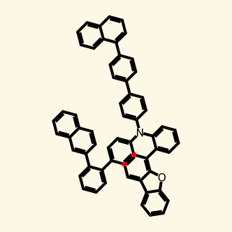 c1ccc(-c2ccc3ccccc3c2)c(-c2ccc(N(c3ccc(-c4ccc(-c5cccc6ccccc56)cc4)cc3)c3ccccc3-c3cccc4c3oc3ccccc34)cc2)c1